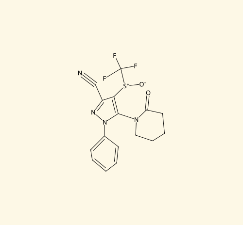 N#Cc1nn(-c2ccccc2)c(N2CCCCC2=O)c1[S+]([O-])C(F)(F)F